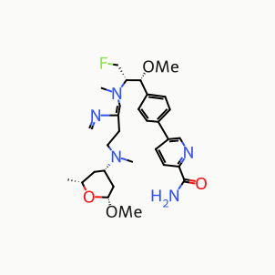 C=N/C(=C\N(C)[C@H](CF)[C@H](OC)c1ccc(-c2ccc(C(N)=O)nc2)cc1)CCN(C)[C@@H]1C[C@H](OC)O[C@H](C)C1